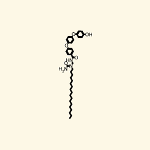 CCCCCCCCCCCCCCCCCCN(CNC(=O)c1ccc(Oc2ccc(Oc3ccc(O)cc3)cc2)cc1)C(N)=O